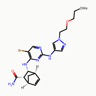 COCCOCCn1cc(Nc2ncc(Br)c(N[C@H]3[C@@H](C(N)=O)[C@@H]4C=C[C@H]3C4)n2)cn1